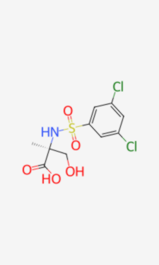 C[C@@](CO)(NS(=O)(=O)c1cc(Cl)cc(Cl)c1)C(=O)O